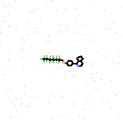 FC(F)(F)C(F)(F)C(F)(F)C(F)(F)C(F)(F)C(F)(F)COc1ccc(-c2nccc3ccccc23)cc1